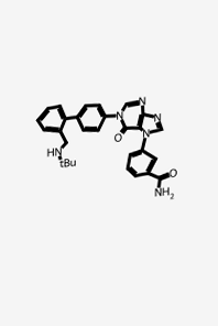 CC(C)(C)NCc1ccccc1-c1ccc(-n2cnc3ncn(-c4cccc(C(N)=O)c4)c3c2=O)cc1